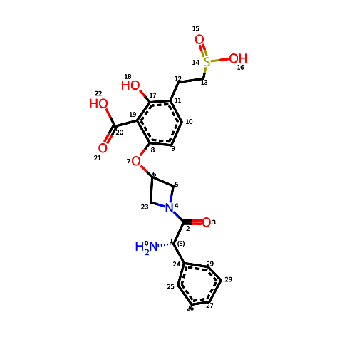 N[C@H](C(=O)N1CC(Oc2ccc(CCS(=O)O)c(O)c2C(=O)O)C1)c1ccccc1